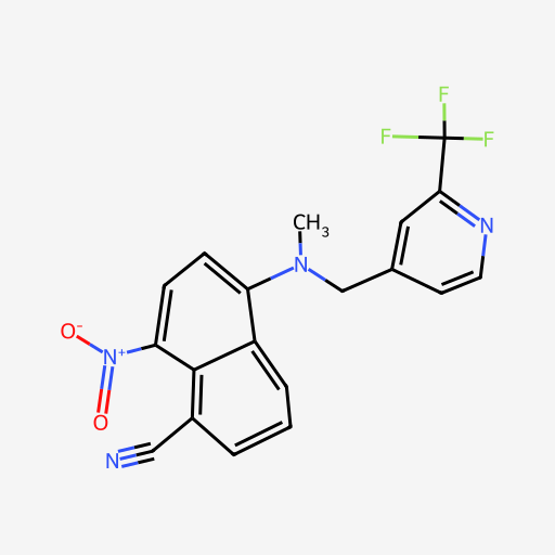 CN(Cc1ccnc(C(F)(F)F)c1)c1ccc([N+](=O)[O-])c2c(C#N)cccc12